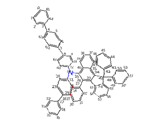 c1ccc(-c2ccc(-c3ccc(N(c4ccc(-c5ccccc5)cc4)c4c(-c5ccccc5)c5c(c6ccccc46)C(c4ccccc4)(c4ccccc4)c4ccccc4-5)cc3)cc2)cc1